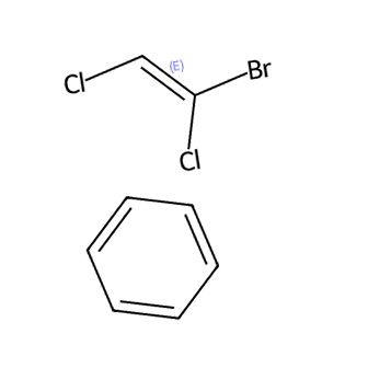 Cl/C=C(\Cl)Br.c1ccccc1